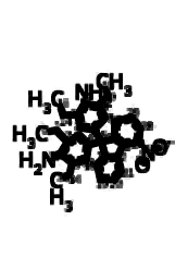 CCc1cc(C2(c3cc(CC)c(N)c(CC)c3)c3ccccc3-c3c([N+](=O)[O-])cccc32)cc(CC)c1N